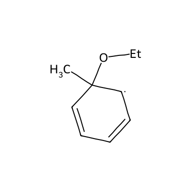 CCOC1(C)[CH]C=CC=C1